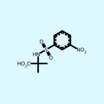 CC(C)(NS(=O)(=O)c1cccc([N+](=O)[O-])c1)C(=O)O